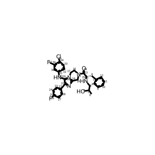 CC(O)CN[C@@H](Cc1ccccc1)C(=O)N1CCn2c(nc(-c3ccc(F)cc3)c2Nc2ccc(Cl)c(F)c2)C1